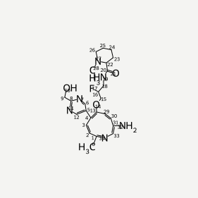 Cc1ccc(-c2cnc(CO)nc2)c(OCC(F)CNC(=O)C2CCCCN2C)ccc(N)cn1